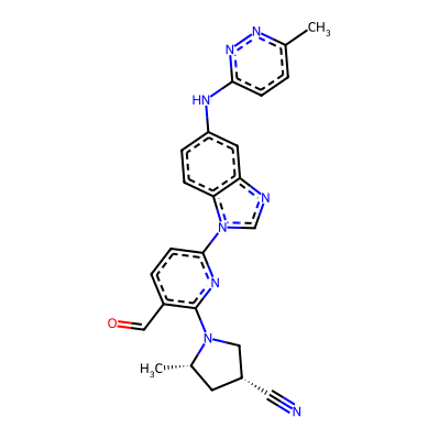 Cc1ccc(Nc2ccc3c(c2)ncn3-c2ccc(C=O)c(N3C[C@H](C#N)C[C@@H]3C)n2)nn1